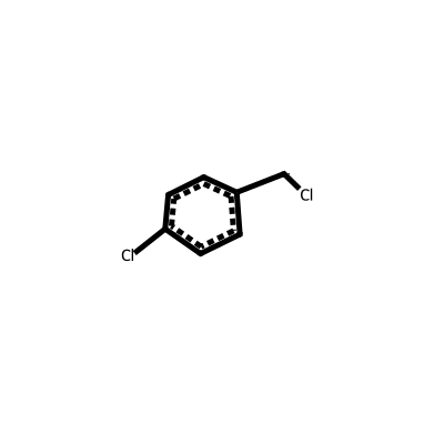 Cl[CH]c1ccc(Cl)cc1